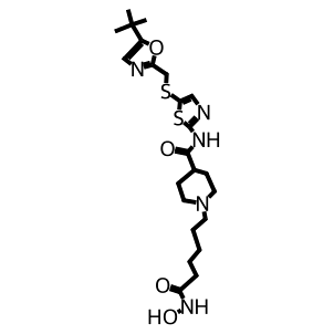 CC(C)(C)c1cnc(CSc2cnc(NC(=O)C3CCN(CCCCCC(=O)NO)CC3)s2)o1